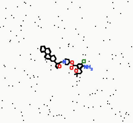 CC1(C)CCc2c(N)c(Cl)cc(C(=O)OC3CCN(Cc4occc4C4CCc5c(ccc6c5ccc5ccccc56)C4)CC3)c2O1